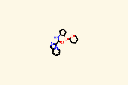 O=C(N[C@H]1CCC[C@@H]1OC1CCCCO1)c1ncc2ccccn12